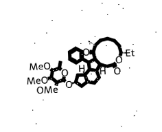 CC[C@H]1CCCC[C@@H](C)C(=O)C2C(c3ccccc3)C3C(CCC4C[C@@H](OC5OC(C)C(OC)C(OC)C5OC)C[C@H]43)[C@@H]2CC(=O)O1